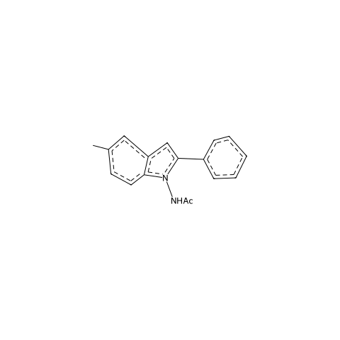 CC(=O)Nn1c(-c2ccccc2)cc2cc(C)ccc21